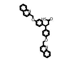 O=C(S)CC(c1ccc(OCc2ccc3ccccc3n2)cc1)c1ccc(OCc2ccc3ccccc3n2)cc1